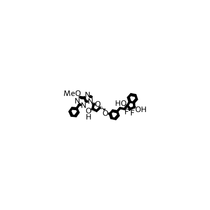 COc1nc(-c2ccccc2)nc2c1ncn2[C@@H]1O[C@H](COc2cccc(CC[C@]3(O)c4ccccc4C(O)C3(F)F)c2)C[C@H]1O